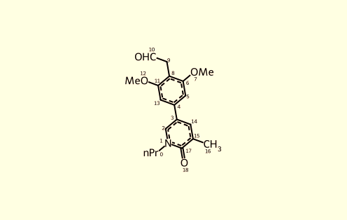 CCCn1cc(-c2cc(OC)c(CC=O)c(OC)c2)cc(C)c1=O